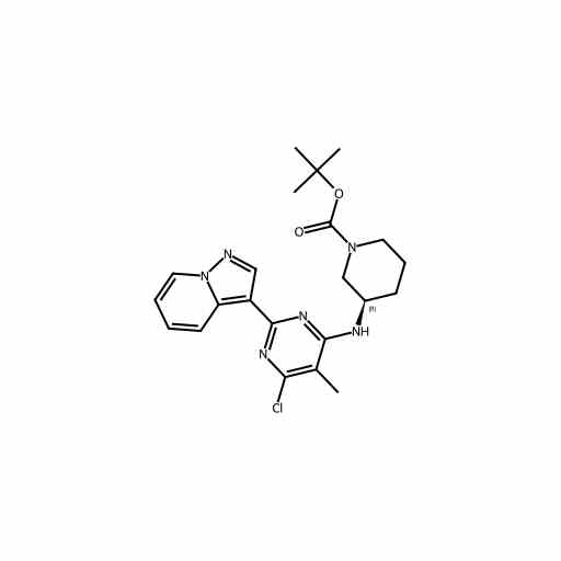 Cc1c(Cl)nc(-c2cnn3ccccc23)nc1N[C@@H]1CCCN(C(=O)OC(C)(C)C)C1